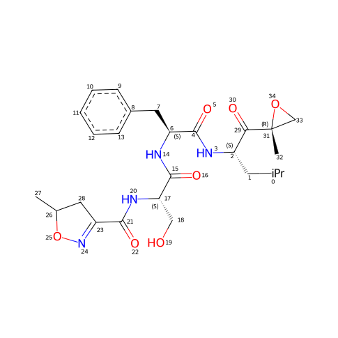 CC(C)C[C@H](NC(=O)[C@H](Cc1ccccc1)NC(=O)[C@H](CO)NC(=O)C1=NOC(C)C1)C(=O)[C@@]1(C)CO1